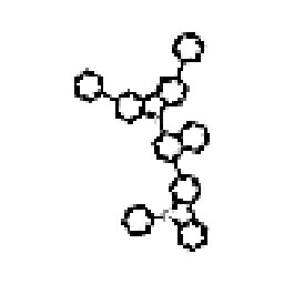 c1ccc(-c2ccc3c(c2)c2cc(-c4ccccc4)ccc2n3-c2ccc(-c3ccc4c5ccccc5n(-c5ccccc5)c4c3)c3ccccc23)cc1